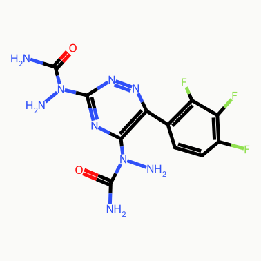 NC(=O)N(N)c1nnc(-c2ccc(F)c(F)c2F)c(N(N)C(N)=O)n1